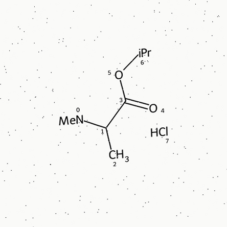 CNC(C)C(=O)OC(C)C.Cl